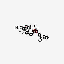 Cc1cc(C)c(B(c2cccc(-c3cccc(-c4ccc(C56CC7(c8ccc(N(C9=CC=CCC9)c9ccc%10ccccc%10c9)cc8)CC8CC5(C6)C8C7)cc4)c3)c2)c2c(C)cc(C)cc2C)c(C)c1